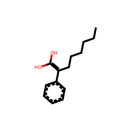 CCCCCCC(=C(O)O)c1ccccc1